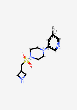 O=S(=O)(CC1CNC1)N1CCN(c2cncc(C(F)(F)F)c2)CC1